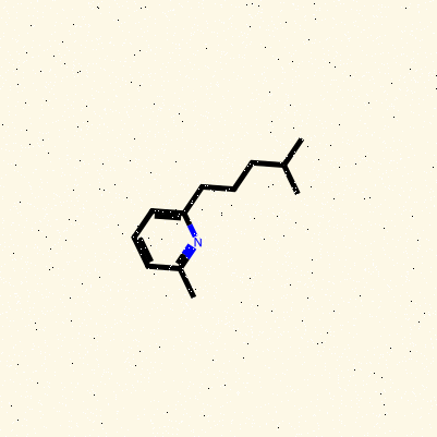 Cc1cccc(CCCC(C)C)n1